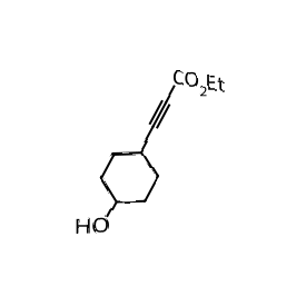 CCOC(=O)C#CC1CCC(O)CC1